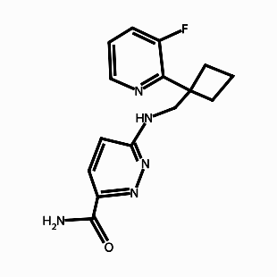 NC(=O)c1ccc(NCC2(c3ncccc3F)CCC2)nn1